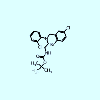 CC(C)(C)OC(=O)NCCN(Cc1cc(Cl)ccc1Br)c1ccccc1Cl